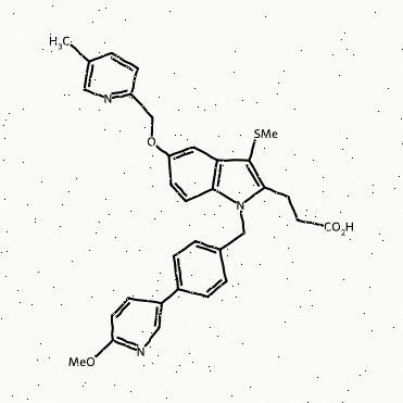 COc1ccc(-c2ccc(Cn3c(CCC(=O)O)c(SC)c4cc(OCc5ccc(C)cn5)ccc43)cc2)cn1